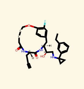 C#CC[C@@H]1NC(=O)CCCCOc2ccc(cc2F)C[C@@H]([C@H](O)CNC2(c3cccc(CC)c3)CC2)NC1=O